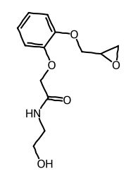 O=C(COc1ccccc1OCC1CO1)NCCO